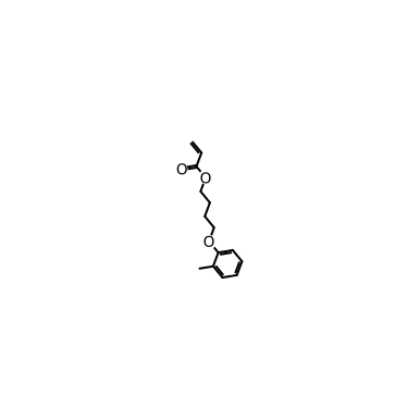 C=CC(=O)OCCCCOc1ccccc1C